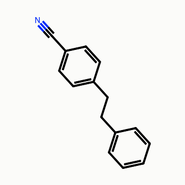 N#Cc1ccc(CCc2ccccc2)cc1